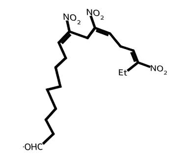 CC/C(=C\C/C=C(\C/C(=C\CCCCCCC[C]=O)[N+](=O)[O-])[N+](=O)[O-])[N+](=O)[O-]